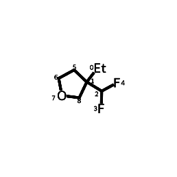 CCC1(C(F)F)CCOC1